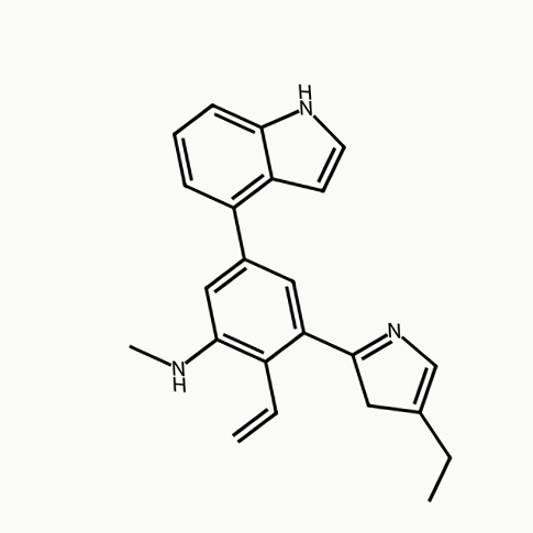 C=Cc1c(NC)cc(-c2cccc3[nH]ccc23)cc1C1=NC=C(CC)C1